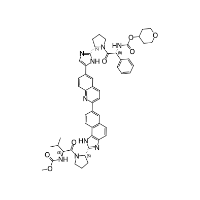 COC(=O)N[C@H](C(=O)N1CCC[C@H]1c1nc2ccc3cc(-c4ccc5cc(-c6cnc([C@@H]7CCCN7C(=O)[C@H](NC(=O)OC7CCOCC7)c7ccccc7)[nH]6)ccc5n4)ccc3c2[nH]1)C(C)C